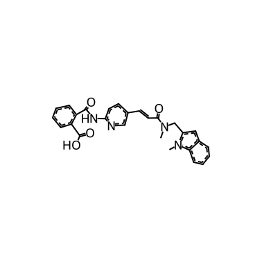 CN(Cc1cc2ccccc2n1C)C(=O)/C=C/c1ccc(NC(=O)c2ccccc2C(=O)O)nc1